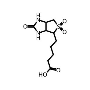 O=C(O)CCCCC1C2NC(=O)NC2CS1(=O)=O